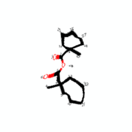 CC1(C(=O)OC(=O)C2(C)CCCCC2)CCCCC1